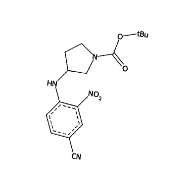 CC(C)(C)OC(=O)N1CCC(Nc2ccc(C#N)cc2[N+](=O)[O-])C1